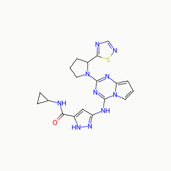 O=C(NC1CC1)c1cc(Nc2nc(N3CCCC3c3ncns3)nc3cccn23)n[nH]1